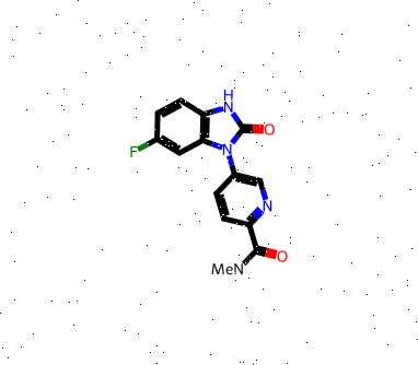 CNC(=O)c1ccc(-n2c(=O)[nH]c3ccc(F)cc32)cn1